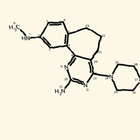 CNc1ccc2c(c1)-c1nc(N)nc(N3CCNCC3)c1CCC2